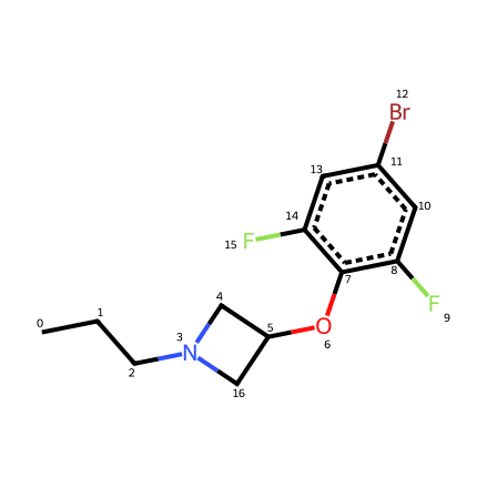 CCCN1CC(Oc2c(F)cc(Br)cc2F)C1